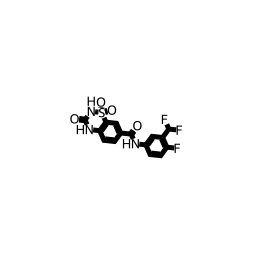 O=C1Nc2ccc(C(=O)Nc3ccc(F)c(C(F)F)c3)cc2S(=O)(=O)N1